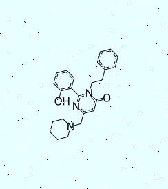 O=c1cc(CN2CCCCC2)nc(-c2ccccc2O)n1CCc1ccccc1